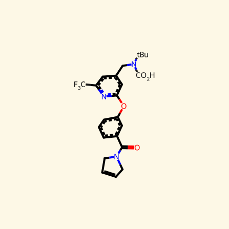 CC(C)(C)N(Cc1cc(Oc2cccc(C(=O)N3CC=CC3)c2)nc(C(F)(F)F)c1)C(=O)O